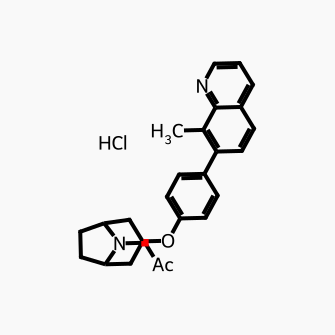 CC(=O)CN1C2CCC1CC(Oc1ccc(-c3ccc4cccnc4c3C)cc1)C2.Cl